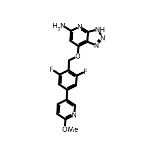 COc1ccc(-c2cc(F)c(COc3cc(N)nc4[nH]nnc34)c(F)c2)cn1